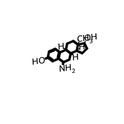 C[C@]12CC[C@@H]3c4ccc(O)cc4C(N)C[C@H]3[C@@H]1CC[C@H]2O